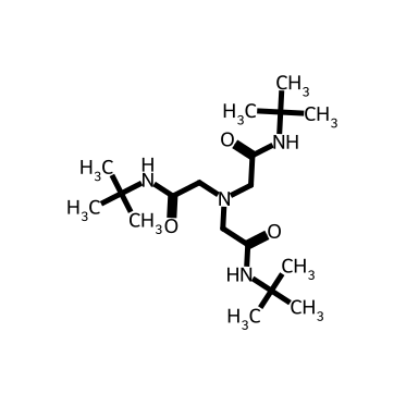 CC(C)(C)NC(=O)CN(CC(=O)NC(C)(C)C)CC(=O)NC(C)(C)C